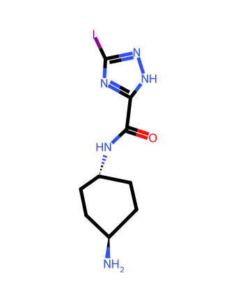 N[C@H]1CC[C@H](NC(=O)c2nc(I)n[nH]2)CC1